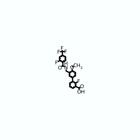 COc1ccc(-c2cccc(C(=O)O)c2F)cc1CNC(=O)c1ccc(C(F)(F)F)cc1F